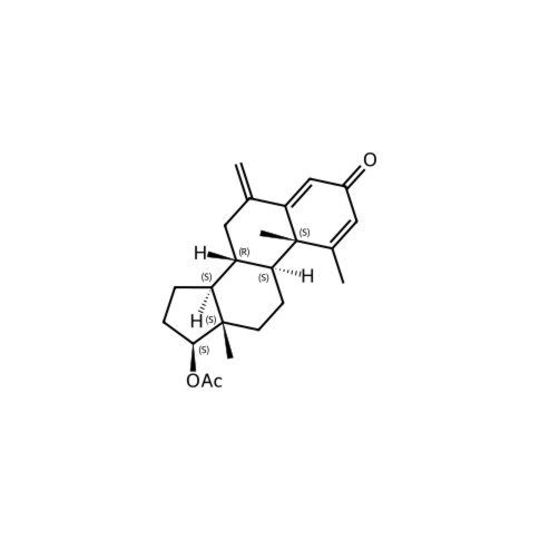 C=C1C[C@@H]2[C@H](CC[C@]3(C)[C@@H](OC(C)=O)CC[C@@H]23)[C@@]2(C)C(C)=CC(=O)C=C12